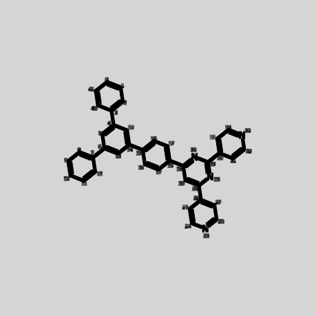 c1ccc(-c2cc(-c3ccccc3)cc(-c3ccc(-c4cc(-c5ccncc5)nc(-c5ccncc5)n4)cc3)c2)cc1